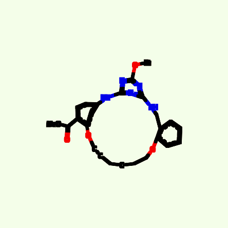 CCOc1nc2nc(n1)Nc1ccc(C(=O)OC)c(c1)OCCCCCCOc1ccccc1CN2